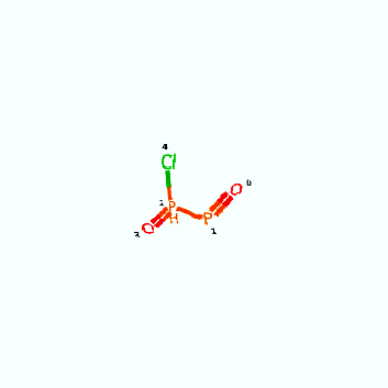 O=P[PH](=O)Cl